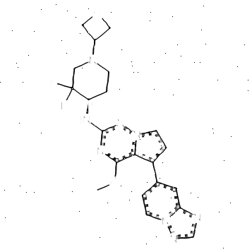 COc1nc(N[C@@H]2CCN(C3COC3)CC2(F)F)nn2ccc(-c3ccn4ncnc4c3)c12